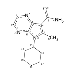 Cc1c(C(N)=O)c2nccnc2n1C1CCCCC1